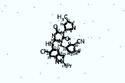 Cc1cncc(-n2c(=O)nc(Nc3cc4cn(C(C)C)nc4cc3Cl)n(Cc3ccc(F)c(C#N)c3)c2=O)c1